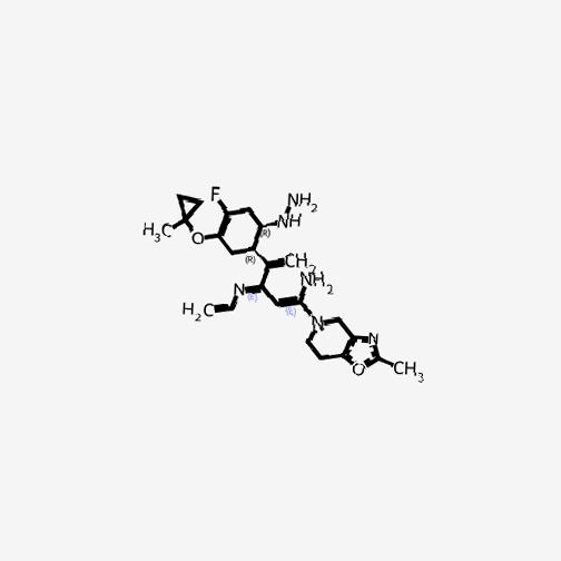 C=C/N=C(\C=C(/N)N1CCc2oc(C)nc2C1)C(=C)[C@H]1CC(OC2(C)CC2)=C(F)C[C@H]1NN